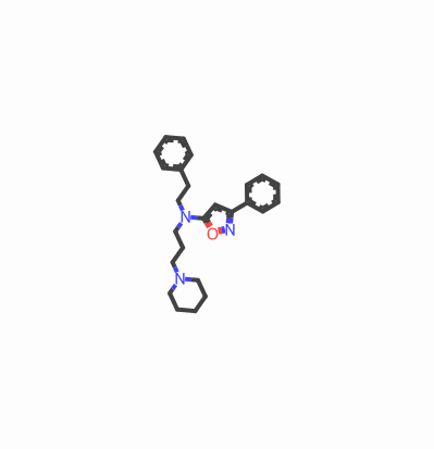 c1ccc(CCN(CCCN2CCCCC2)c2cc(-c3ccccc3)no2)cc1